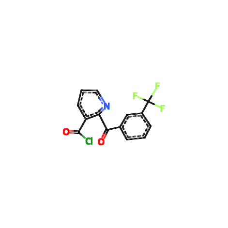 O=C(Cl)c1cccnc1C(=O)c1cccc(C(F)(F)F)c1